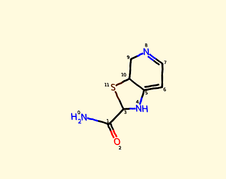 NC(=O)C1NC2=CC=NCC2S1